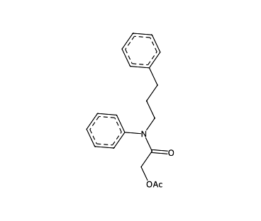 CC(=O)OCC(=O)N(CCCc1ccccc1)c1ccccc1